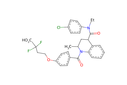 CCN(C(=O)C1CC(C)N(C(=O)c2ccc(OCCC(F)(F)C(=O)O)cc2)c2ccccc21)c1ccc(Cl)cc1